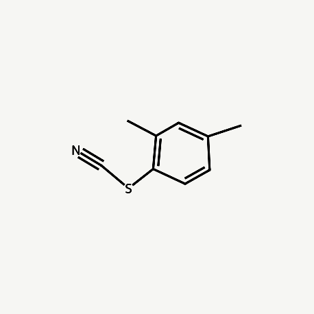 Cc1ccc(SC#N)c(C)c1